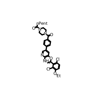 CCCCCC(=O)N1CCN(C(=O)c2ccc(-c3cnc(N)c(OC(C)c4c(Cl)ccc(OCC)c4Cl)c3)cc2)CC1